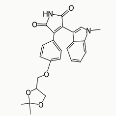 Cn1cc(C2=C(c3ccc(OCC4COC(C)(C)O4)cc3)C(=O)NC2=O)c2ccccc21